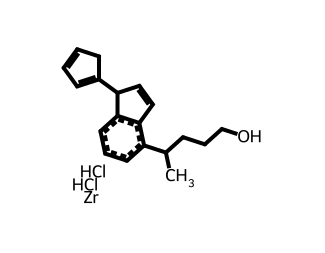 CC(CCCO)c1cccc2c1C=CC2C1=CC=CC1.Cl.Cl.[Zr]